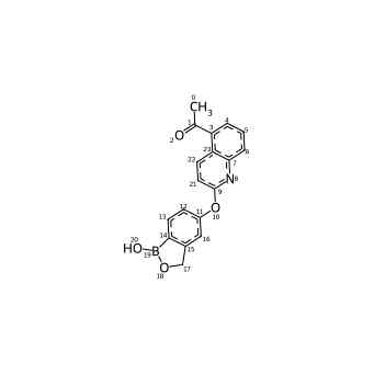 CC(=O)c1cccc2nc(Oc3ccc4c(c3)COB4O)ccc12